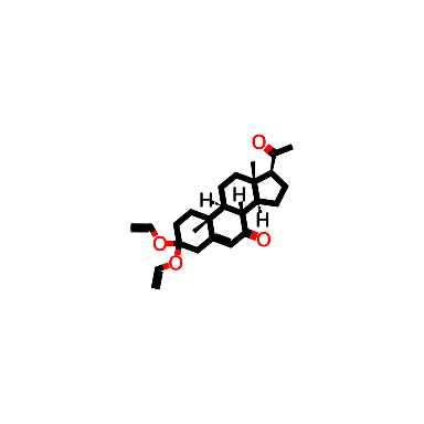 C=COC1(OC=C)CC[C@@]2(C)C(=CC(=O)[C@H]3[C@@H]4CC[C@H](C(C)=O)[C@@]4(C)CC[C@@H]32)C1